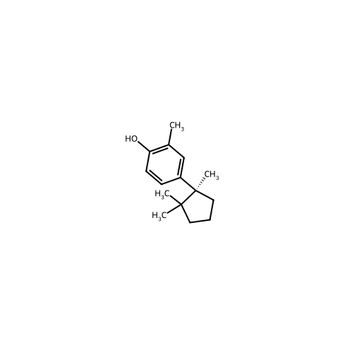 Cc1cc([C@@]2(C)CCCC2(C)C)ccc1O